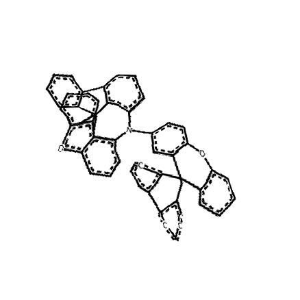 CC1(C)c2ccccc2-c2cccc(N(c3ccc4c(c3)C3(c5ccccc5O4)c4ccccc4-c4ccccc43)c3cccc4oc5ccccc5c34)c21